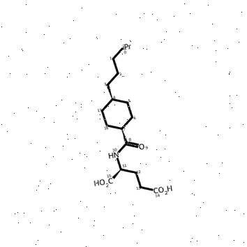 CC(C)CCC[C@H]1CC[C@@H](C(=O)N[C@@H](CCC(=O)O)C(=O)O)CC1